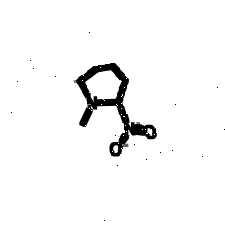 CN1[CH]CCCC1[N+](=O)[O-]